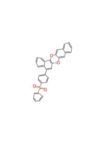 O=S(=O)(c1ccccc1)c1ccc(-c2cc3c(c4ccccc24)Oc2cc4ccccc4cc2O3)cc1